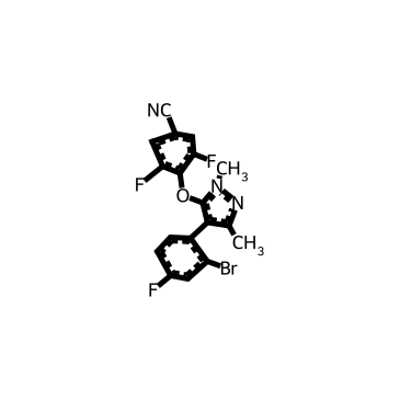 Cc1nn(C)c(Oc2c(F)cc(C#N)cc2F)c1-c1ccc(F)cc1Br